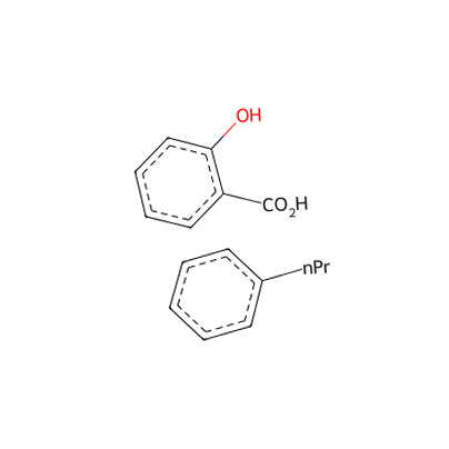 CCCc1ccccc1.O=C(O)c1ccccc1O